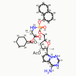 CC(=O)O[C@H]1[C@@H](OC(C)=O)[C@](C)(c2ccc3c(N)ncnn23)O[C@@H]1COP(=O)(N[C@@H](C)C(=O)OC1CCCCC1)Oc1cccc2ccccc12